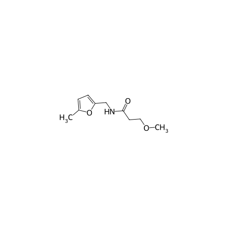 COCCC(=O)NCc1ccc(C)o1